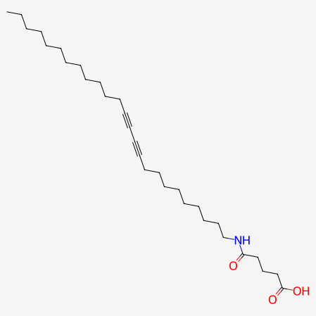 CCCCCCCCCCCCC#CC#CCCCCCCCCCNC(=O)CCCC(=O)O